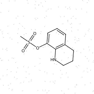 CS(=O)(=O)Oc1cccc2c1NCCC2